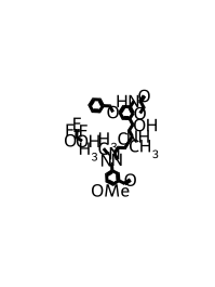 COC(=O)c1cccc(-c2nc(C)n(CCC(C)(C)NCC(O)c3cc(OCc4ccccc4)cc4c3OCC(=O)N4)n2)c1.O=C(O)C(F)(F)F